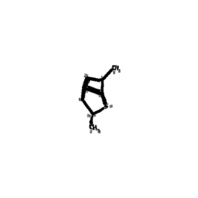 CC1CC2=C1S[C@@H](C)C2